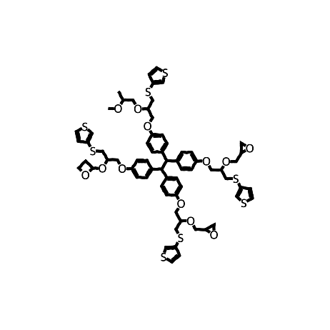 COC(C)COC(COc1ccc(C(c2ccc(OCC(CSc3ccsc3)OCC3CO3)cc2)C(c2ccc(OCC(CSc3ccsc3)OCC3CO3)cc2)c2ccc(OCC(CSc3ccsc3)OC3CCO3)cc2)cc1)CSc1ccsc1